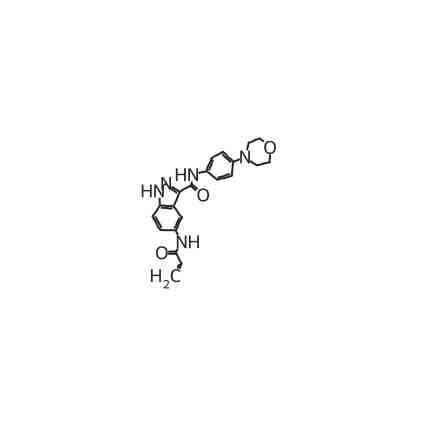 C=CC(=O)Nc1ccc2[nH]nc(C(=O)Nc3ccc(N4CCOCC4)cc3)c2c1